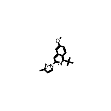 COc1ccc2c(C(C)(C)C)nc(-n3ccc(C)n3)cc2c1